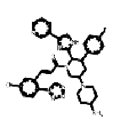 NC1CCN(C2CC(c3ccc(F)cc3)C(c3nc(-c4cccnc4)c[nH]3)N(C(=O)C=Cc3cc(Cl)ccc3-n3cnnn3)C2)CC1